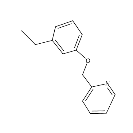 CCc1cccc(OCc2ccccn2)c1